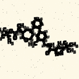 Cc1cc(-c2ccncc2N2CCOCC(N(C)C(=O)OC(C)(C)C)C2)ccc1CNC(=O)c1cn(C(C)(C)C)nn1